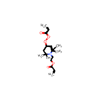 C=CC(=O)OCCN1C(C)(C)CC(OOC(=O)C=C)CC1(C)C